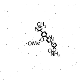 COCOc1cc(-c2cnc(C)s2)ccc1-c1ccc(N2CC[C@@H](OC(N)=O)C2)nn1